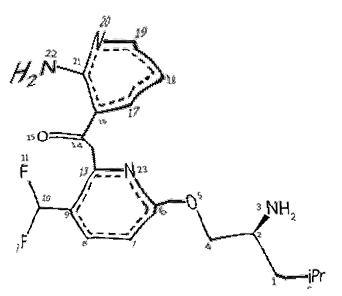 CC(C)C[C@H](N)COc1ccc(C(F)F)c(C(=O)c2cccnc2N)n1